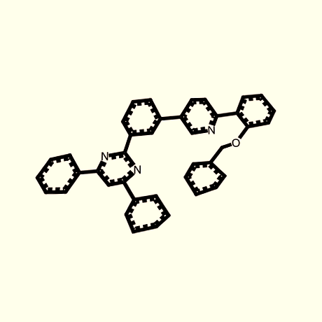 c1ccc(COc2ccccc2-c2ccc(-c3cccc(-c4nc(-c5ccccc5)cc(-c5ccccc5)n4)c3)cn2)cc1